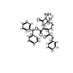 NC1C(=O)N2C(C(=O)OC(c3ccccc3)c3ccccc3)=C(C(=O)Sc3ccccc3)CS[C@H]12